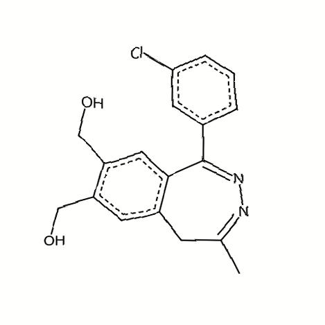 CC1=NN=C(c2cccc(Cl)c2)c2cc(CO)c(CO)cc2C1